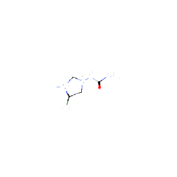 NC(=O)NN1CNC(Cl)C1